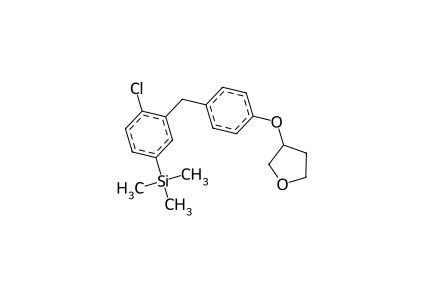 C[Si](C)(C)c1ccc(Cl)c(Cc2ccc(OC3CCOC3)cc2)c1